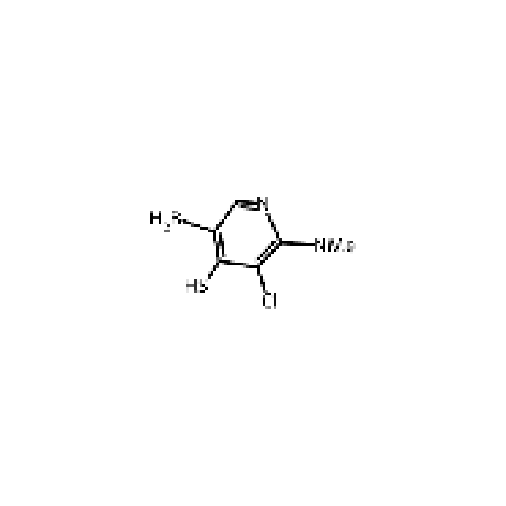 Bc1cnc(NC)c(Cl)c1S